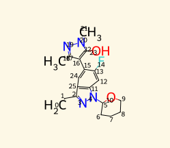 C=Cc1nn(C2CCCCO2)c2cc(F)c(-c3c(C)nn(C)c3O)cc12